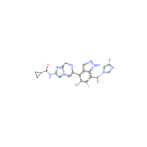 Cc1cn(C(C)c2c(F)c(Cl)c(-c3cn4cc(NC(=O)C5CC5)nc4cn3)c3cn[nH]c23)cn1